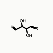 OC(C=S)C(O)C=S